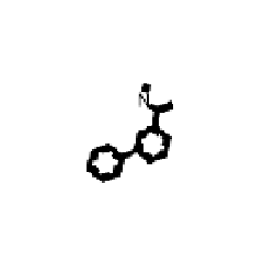 C=NC(=C)c1cccc(-c2ccccc2)c1